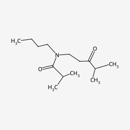 CCCCN(CCC(=O)C(C)C)C(=O)C(C)C